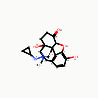 C[N+]1(NC2CC2)CCC23c4c5ccc(O)c4OC2C(=O)CCC3(O)C1C5